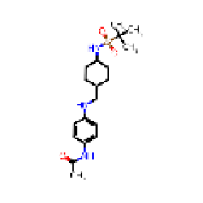 CC(=O)Nc1ccc(NCC2CCC(NS(=O)(=O)C(C)(C)C)CC2)cc1